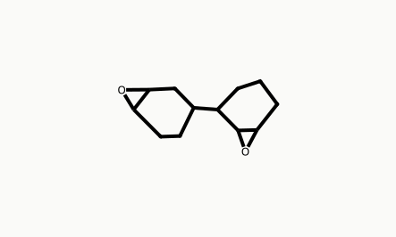 C1CC2OC2C(C2CCC3OC3C2)C1